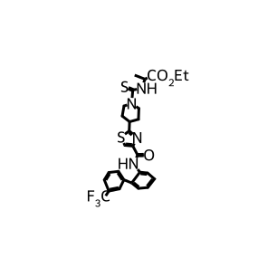 CCOC(=O)C(C)NC(=S)N1CCC(c2nc(C(=O)Nc3ccccc3-c3cccc(C(F)(F)F)c3)cs2)CC1